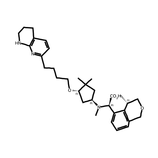 C[C@@H]1COCc2cccc([C@H](C(=O)O)N(C)[C@H]3C[C@H](OCCCCc4ccc5c(n4)NCCC5)C(C)(C)C3)c21